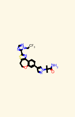 CC(C)(C(N)=O)n1cc(-c2ccc3c(c2)OCCc2sc(-c4ncnn4CC(F)(F)F)nc2-3)cn1